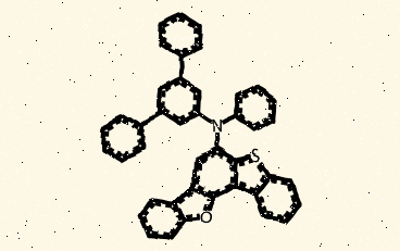 c1ccc(-c2cc(-c3ccccc3)cc(N(c3ccccc3)c3cc4c5ccccc5oc4c4c3sc3ccccc34)c2)cc1